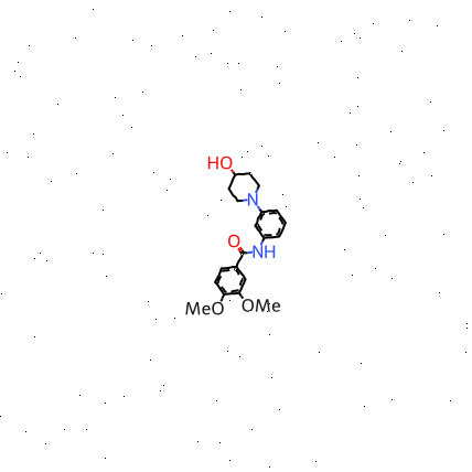 COc1ccc(C(=O)Nc2cccc(N3CCC(O)CC3)c2)cc1OC